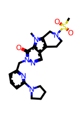 Cn1c2c(c3cnn(Cc4cccc(N5CCCC5)n4)c(=O)c31)CCN(S(C)(=O)=O)C2